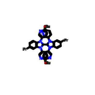 CC(C)c1ccc2c(c1)N(c1ccc(C(C)(C)C)nc1)C(C1N(c3ccc(C(C)(C)C)nc3)c3ccc(C(C)C)cc3N1c1ccc(C(C)(C)C)nc1)N2c1ccc(C(C)(C)C)nc1